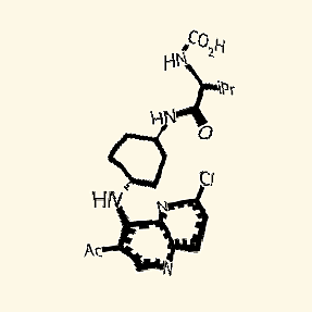 CC(=O)c1cnc2ccc(Cl)nc2c1N[C@H]1CC[C@H](NC(=O)C(NC(=O)O)C(C)C)CC1